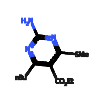 CCCCc1nc(N)nc(SC)c1C(=O)OCC